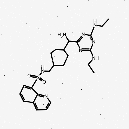 CCNc1nc(NCC)nc(C(N)C2CCC(CNS(=O)(=O)c3cccc4cccnc34)CC2)n1